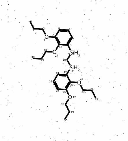 CCCOc1cccc([SiH2]C[SiH2]c2cccc(OCCC)c2OCCC)c1OCCC